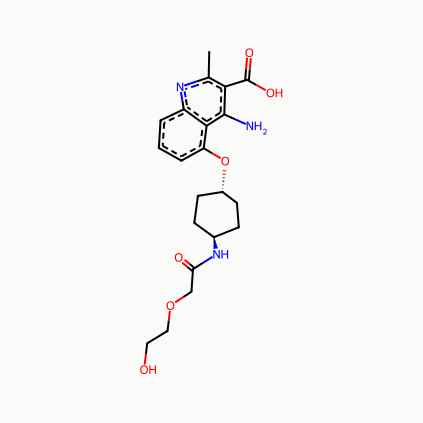 Cc1nc2cccc(O[C@H]3CC[C@H](NC(=O)COCCO)CC3)c2c(N)c1C(=O)O